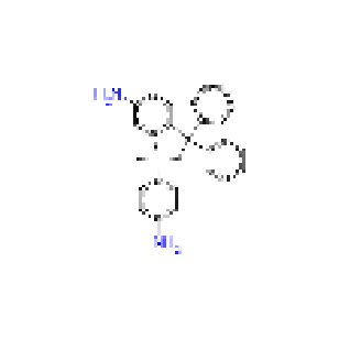 CC1(c2ccc(N)cc2)CC(c2ccccc2)(c2ccccc2)c2ccc(N)cc21